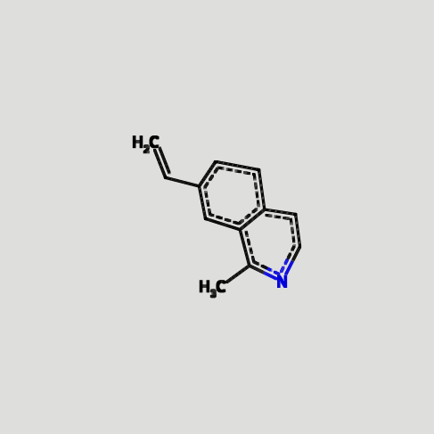 C=Cc1ccc2ccnc(C)c2c1